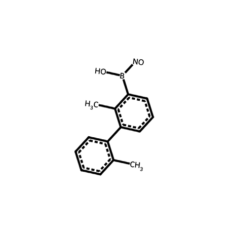 Cc1ccccc1-c1cccc(B(O)N=O)c1C